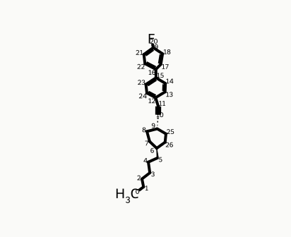 CCCCCC[C@H]1CC[C@H](C#Cc2ccc(-c3ccc(F)cc3)cc2)CC1